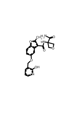 Cc1oc2ccc(OCc3cccnc3O)cc2c1C(=O)NC1(C(N)=O)COC1